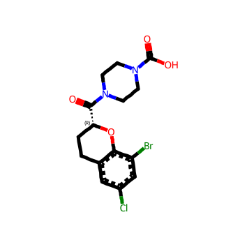 O=C(O)N1CCN(C(=O)[C@H]2CCc3cc(Cl)cc(Br)c3O2)CC1